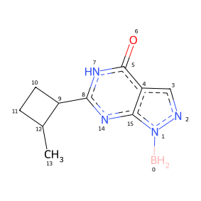 Bn1ncc2c(=O)[nH]c(C3CCC3C)nc21